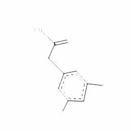 NC(=O)[CH]c1cc(F)cc(F)c1